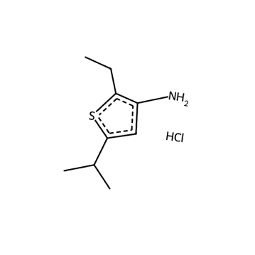 CCc1sc(C(C)C)cc1N.Cl